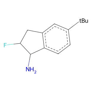 CC(C)(C)c1ccc2c(c1)CC(F)C2N